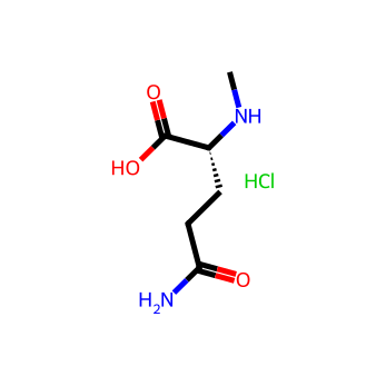 CN[C@H](CCC(N)=O)C(=O)O.Cl